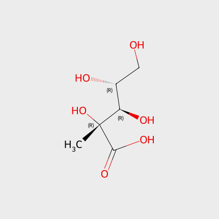 C[C@](O)(C(=O)O)[C@H](O)[C@H](O)CO